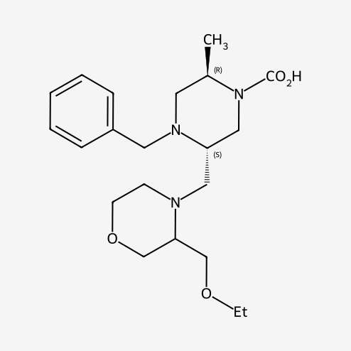 CCOCC1COCCN1C[C@H]1CN(C(=O)O)[C@H](C)CN1Cc1ccccc1